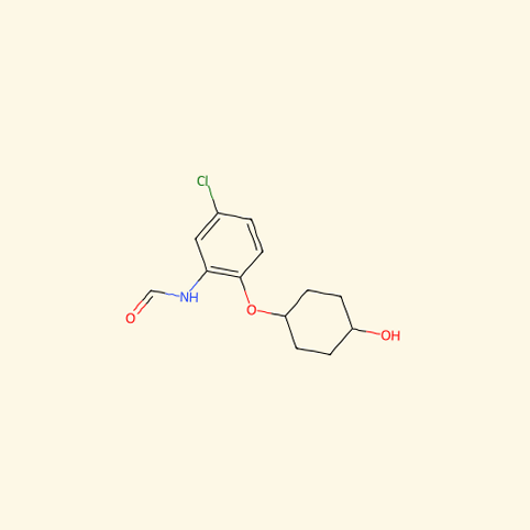 O=CNc1cc(Cl)ccc1OC1CCC(O)CC1